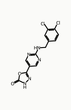 O=c1[nH]nc(-c2cnc(NCc3ccc(Cl)c(Cl)c3)nc2)o1